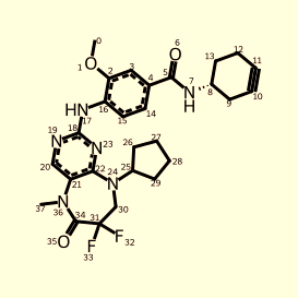 COc1cc(C(=O)N[C@H]2CC#CCC2)ccc1Nc1ncc2c(n1)N(C1CCCC1)CC(F)(F)C(=O)N2C